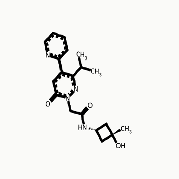 CC(C)c1nn(CC(=O)N[C@H]2C[C@@](C)(O)C2)c(=O)cc1-c1ccccn1